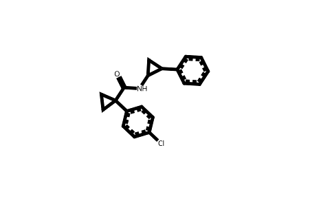 O=C(NC1CC1c1ccccc1)C1(c2ccc(Cl)cc2)CC1